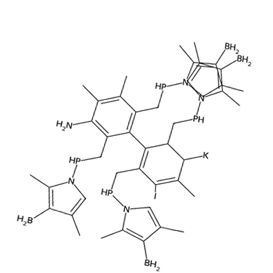 BC1=C(C)N(PCc2c(C)c(C)c(N)c(CPn3cc(C)c(B)c3C)c2C2=C(CPn3cc(C)c(B)c3C)C(I)=C(C)[CH]([K])C2CPn2cc(C)c(B)c2C)CC1C